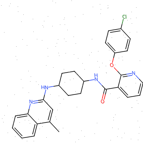 Cc1cc(NC2CCC(NC(=O)c3cccnc3Oc3ccc(Cl)cc3)CC2)nc2ccccc12